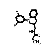 C=CC(=O)NCC1Cc2ccccc2N(c2cc(F)cc(F)c2)C1